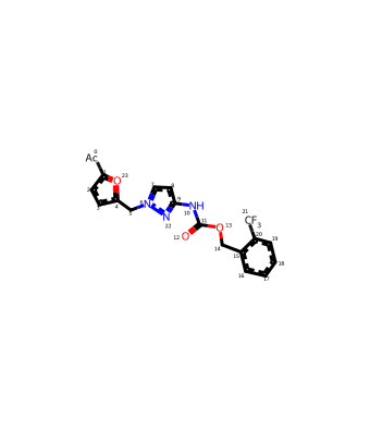 CC(=O)c1ccc(Cn2ccc(NC(=O)OCc3ccccc3C(F)(F)F)n2)o1